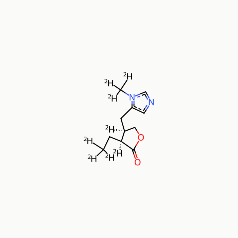 [2H]C([2H])([2H])C[C@]1([2H])C(=O)OC[C@]1([2H])Cc1cncn1C([2H])([2H])[2H]